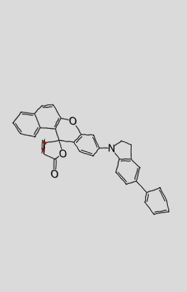 O=C1OC2(c3ccc(N4CCc5cc(-c6ccccc6)ccc54)cc3Oc3ccc4ccccc4c32)c2ccccc21